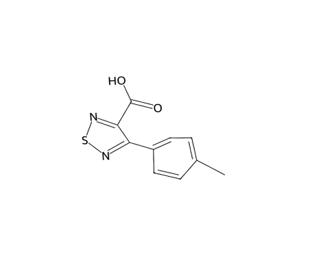 Cc1ccc(-c2nsnc2C(=O)O)cc1